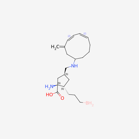 BCCC[C@H]1C[C@H](CNC2CCC/C=C\C=C/C(=C)C2)C[C@@]1(N)C(=O)O